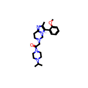 COc1ccccc1C1=C(C)N=C2CCN(CC(=O)N3CCN(C(C)C)CC3)C[N+]21